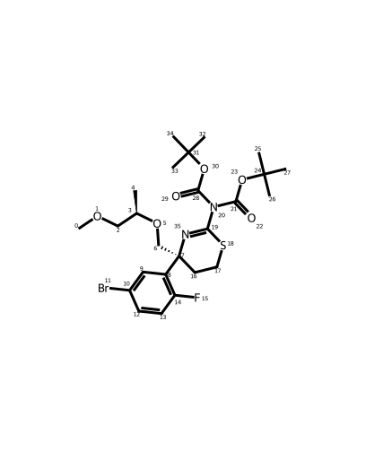 COC[C@@H](C)OC[C@@]1(c2cc(Br)ccc2F)CCSC(N(C(=O)OC(C)(C)C)C(=O)OC(C)(C)C)=N1